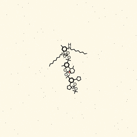 CCCCCCCCNc1cc(C)cc(NCCCCCCCC)c1OC(=O)OC(C)(C)c1cc(C)c(OC(=O)OC(C)(C)c2cc(C3CCCC3)c(OC(=O)OC(C)(C)C)c(C3CCCC3)c2)c(C2CCCCC2C)c1